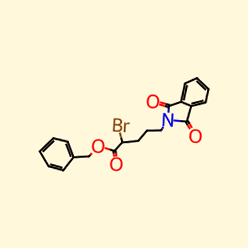 O=C(OCc1ccccc1)C(Br)CCCN1C(=O)c2ccccc2C1=O